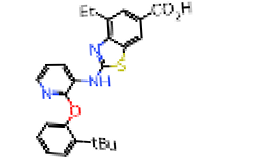 CCc1cc(C(=O)O)cc2sc(Nc3cccnc3Oc3ccccc3C(C)(C)C)nc12